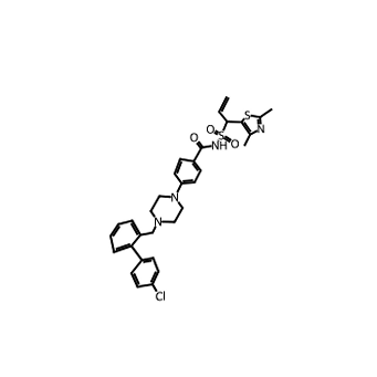 C=CC(c1sc(C)nc1C)S(=O)(=O)NC(=O)c1ccc(N2CCN(Cc3ccccc3-c3ccc(Cl)cc3)CC2)cc1